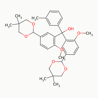 COc1ccc(C2OCC(C)(C)CO2)cc1C(O)(c1cccc(C)c1)c1cc(C2OCC(C)(C)CO2)ccc1OC